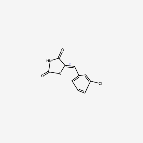 O=C1NC(=O)/C(=C/c2cc[c]c(Cl)c2)S1